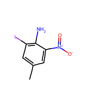 Cc1cc(I)c(N)c([N+](=O)[O-])c1